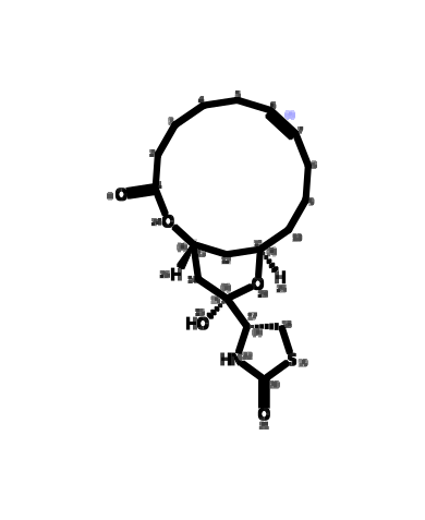 O=C1CCCC/C=C\CCC[C@@H]2C[C@H](C[C@](O)([C@@H]3CSC(=O)N3)O2)O1